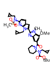 COc1cc(C(=O)N2CCCC[C@H]2N(CC2CC2)C(=O)OC(C)(C)C)cc2nc(-c3cc4ccc(N(CC5CC5)S(C)(=O)=O)nc4n3CC3CC3)n(C)c12